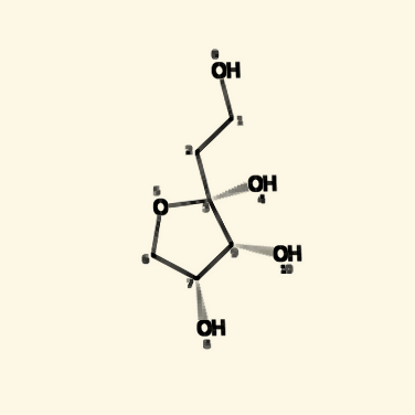 OCC[C@]1(O)OC[C@@H](O)[C@H]1O